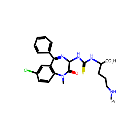 CC(C)NCCCC(NC(=S)NC1N=C(c2ccccc2)c2cc(Cl)ccc2N(C)C1=O)C(=O)O